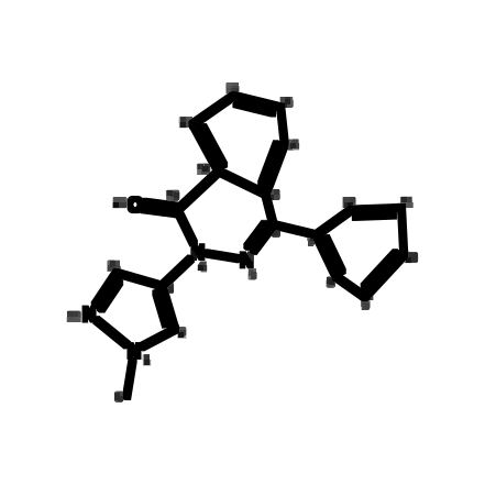 Cn1cc(-n2nc(-c3c[c]ccc3)c3ccccc3c2=O)cn1